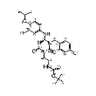 CC(C)Oc1ccc(Nc2nc(=O)n(CCNC(=O)OC(C)(C)C)c(=O)n2Cc2ccc(Cl)cc2)cc1F